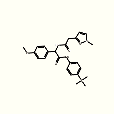 COc1ccc(C(NC(=O)Cc2ccn(C)n2)C(=O)Nc2ccc(S(C)(C)C)cc2)cc1